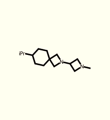 CC(C)C1CCC2(CC1)CN(C1CN(C)C1)C2